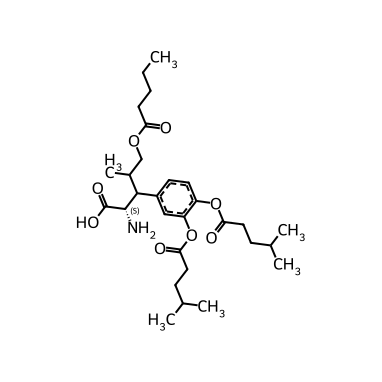 CCCCC(=O)OCC(C)C(c1ccc(OC(=O)CCC(C)C)c(OC(=O)CCC(C)C)c1)[C@H](N)C(=O)O